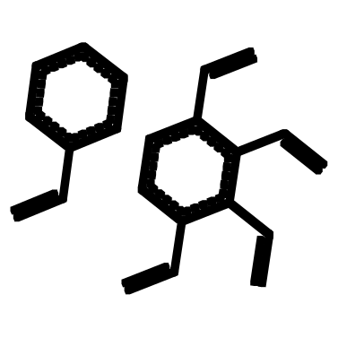 C=Cc1ccc(C=C)c(C=C)c1C=C.C=Cc1ccccc1